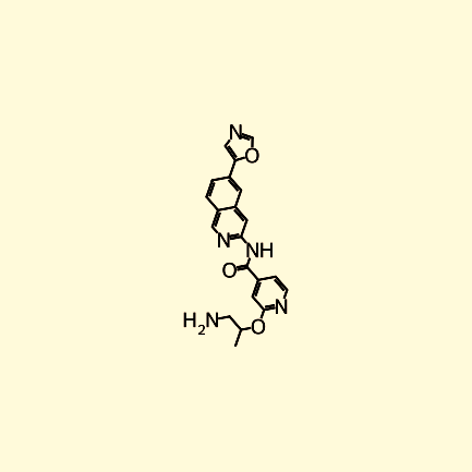 CC(CN)Oc1cc(C(=O)Nc2cc3cc(-c4cnco4)ccc3cn2)ccn1